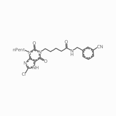 CCCCCn1c(=O)n(CCCCC(=O)NCc2cccc(C#N)c2)c(=O)c2[nH]c(Cl)nc21